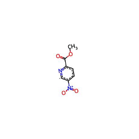 COC(=O)c1ccc([N+](=O)[O-])[c]n1